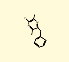 Cc1nc(Cc2ccccc2)c(C)nc1Br